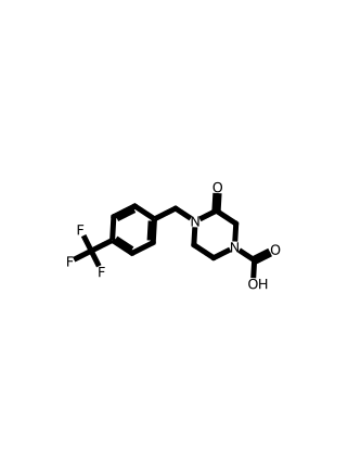 O=C(O)N1CCN(Cc2ccc(C(F)(F)F)cc2)C(=O)C1